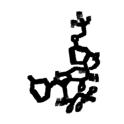 Cc1cccc(-n2nc3c(c2NC(=O)CS(C)(=O)=O)C(=O)N[C@@]2(CCOc4cc(OCC(F)(F)F)ccc42)C3)c1